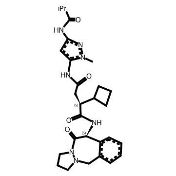 CC(C)C(=O)Nc1cc(NC(=O)C[C@H](C(=O)N[C@@H]2C(=O)N3CCCN3Cc3ccccc32)C2CCC2)n(C)n1